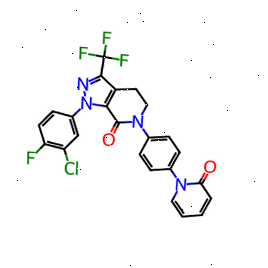 O=C1c2c(c(C(F)(F)F)nn2-c2ccc(F)c(Cl)c2)CCN1c1ccc(-n2ccccc2=O)cc1